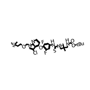 CC(C)(CNC(=O)OC(C)(C)C)CNC(=S)Nc1cc(F)c(Oc2ccnc3c2c(Cl)cn3COCC[Si](C)(C)C)c(F)c1